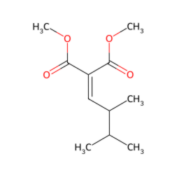 COC(=O)C(=CC(C)C(C)C)C(=O)OC